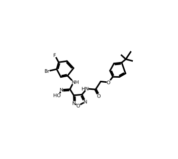 CC(C)(C)c1ccc(OCC(=O)Nc2nonc2/C(=N\O)Nc2ccc(F)c(Br)c2)cc1